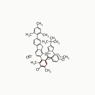 CCCCC1C=C(C(C)(C)C)C=[C]1[Zr+2](=[C](c1ccc(Cl)cc1)c1ccc(Cl)cc1)[c]1c(-c2c(C)cc(C)cc2C)ccc2c1Cc1cc(-c3c(C)cc(C)cc3C)ccc1-2.[Cl-].[Cl-]